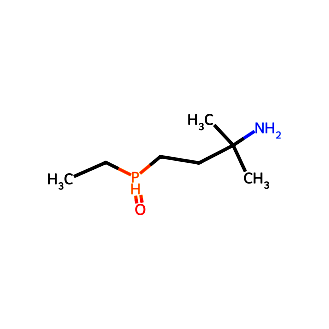 CC[PH](=O)CCC(C)(C)N